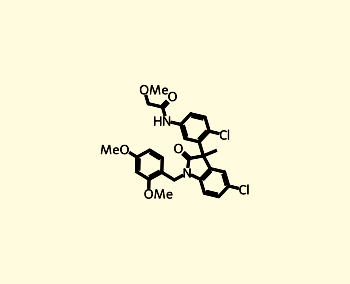 COCC(=O)Nc1ccc(Cl)c(C2(C)C(=O)N(Cc3ccc(OC)cc3OC)c3ccc(Cl)cc32)c1